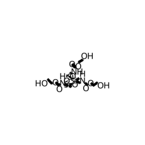 C[Si]1(CNC(=O)OCCO)O[Si](C)(CNC(=O)OCCO)O[Si](C)(CNC(=O)OCCO)O1